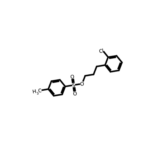 Cc1ccc(S(=O)(=O)OCCCc2ccccc2Cl)cc1